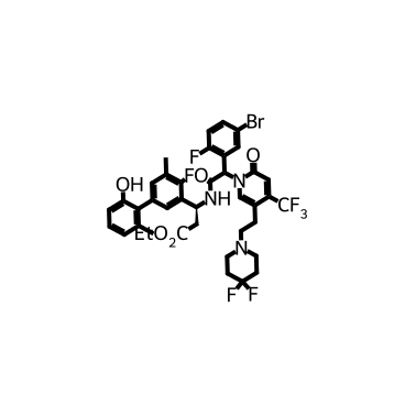 CCOC(=O)C[C@H](NC(=O)C(c1cc(Br)ccc1F)n1cc(CCN2CCC(F)(F)CC2)c(C(F)(F)F)cc1=O)c1cc(-c2c(C)cccc2O)cc(C)c1F